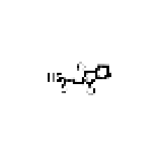 O=C1c2ccccc2C(=O)N1CSC(=S)S